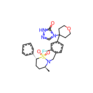 C[C@H]1CC[C@H](c2ccccc2)S(=O)(=O)N1Cc1ccc(C2(n3cn[nH]c3=O)CCOCC2)cc1F